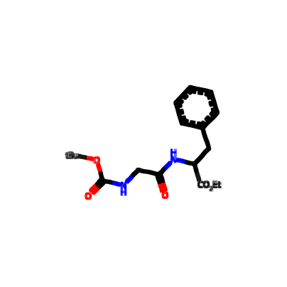 CCOC(=O)C(Cc1ccccc1)NC(=O)CNC(=O)OC(C)(C)C